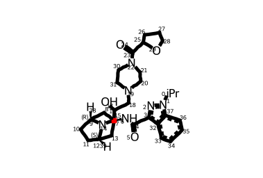 CC(C)n1nc(C(=O)N[C@@H]2C[C@H]3CC[C@@H](C2)N3CC(O)CN2CCN(C(=O)C3CCCO3)CC2)c2ccccc21